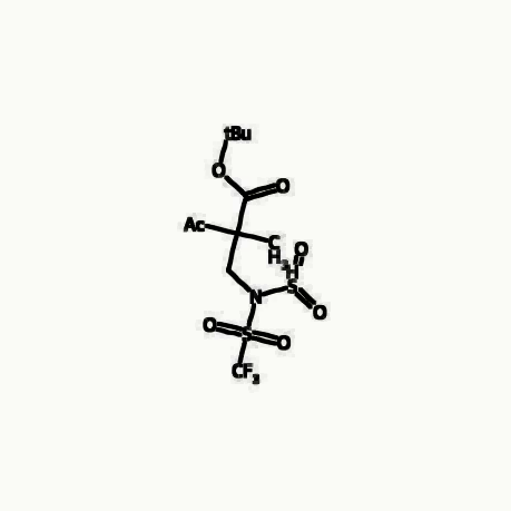 CC(=O)C(C)(CN([SH](=O)=O)S(=O)(=O)C(F)(F)F)C(=O)OC(C)(C)C